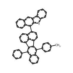 Cc1ccc(-c2c3c(c(-c4ccccc4)c4ccccc24)-c2cccc4c(-c5c6ccccc6cc6c5sc5ccccc56)ccc-3c24)cc1